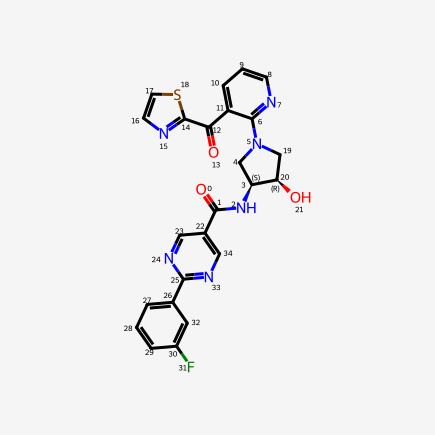 O=C(N[C@H]1CN(c2ncccc2C(=O)c2nccs2)C[C@H]1O)c1cnc(-c2cccc(F)c2)nc1